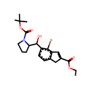 CCOC(=O)C1=Cc2c(ccc(C(O)C3CCCN3C(=O)OC(C)(C)C)c2Br)C1